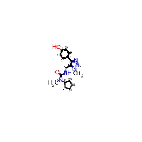 CN(C(=O)NCc1c(-c2ccc(O)cc2)nnn1C)C1CCCC1